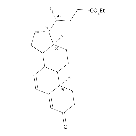 CCOC(=O)CC[C@@H](C)[C@H]1CCC2C3C=CC4=CC(=O)CC[C@]4(C)C3CC[C@@]21C